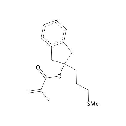 C=C(C)C(=O)OC1(CCCSC)Cc2ccccc2C1